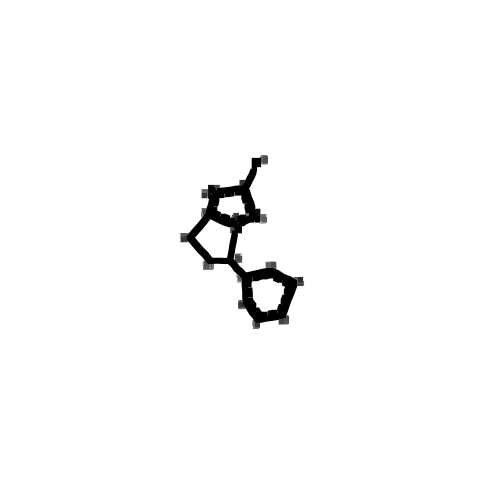 Fc1nc2n(n1)C(c1ccccc1)CC2